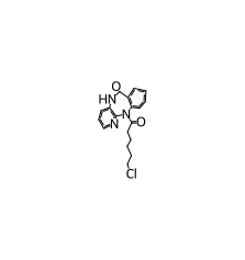 O=C1Nc2cccnc2N(C(=O)CCCCCCl)c2ccccc21